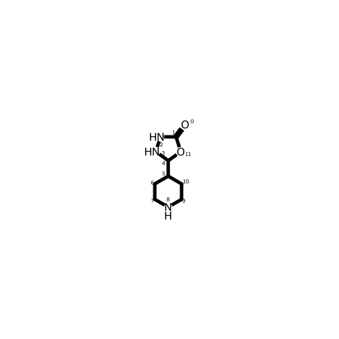 O=C1NNC(C2CCNCC2)O1